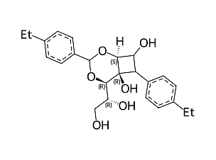 CCc1ccc(C2O[C@H]([C@H](O)CO)[C@@]3(O)C(c4ccc(CC)cc4)C(O)[C@@H]3O2)cc1